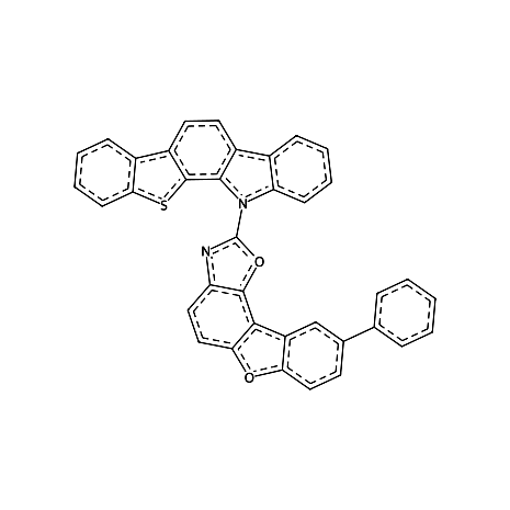 c1ccc(-c2ccc3oc4ccc5nc(-n6c7ccccc7c7ccc8c9ccccc9sc8c76)oc5c4c3c2)cc1